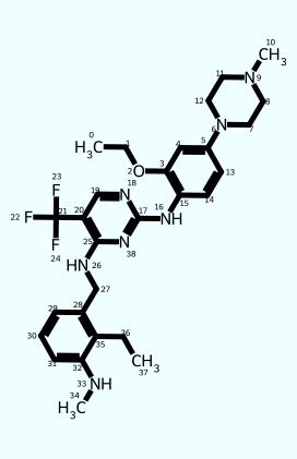 CCOc1cc(N2CCN(C)CC2)ccc1Nc1ncc(C(F)(F)F)c(NCc2cccc(NC)c2CC)n1